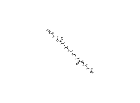 O=C(CCCCCCCCCCC(=O)OCCCCO)OCCCCO